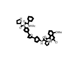 COc1cccc2c(C(=O)[C@]3(C(=O)Nc4ccc(-c5ccc(-c6ccc(N(C(=O)[C@@H]7CCCN7)C(=O)[C@H](NC(C)=O)c7ccccc7)cc6)o5)cc4)CCCN3)nc(Cl)cc12